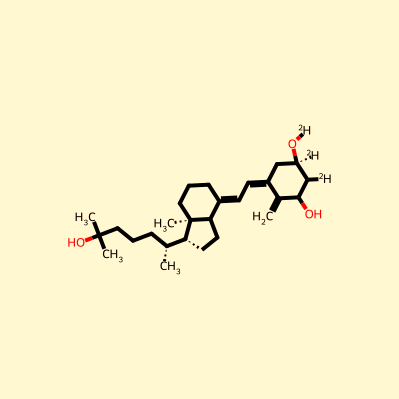 [2H]O[C@]1([2H])C/C(=C/C=C2CCC[C@@]3(C)C2CC[C@@H]3[C@H](C)CCCC(C)(C)O)C(=C)C(O)C1[2H]